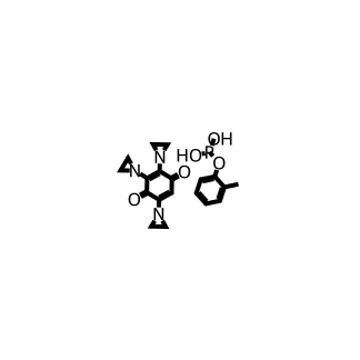 Cc1ccccc1OP(O)O.O=C1C=C(N2CC2)C(=O)C(N2CC2)=C1N1CC1